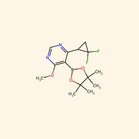 COc1ncnc(C2CC2(F)F)c1B1OC(C)(C)C(C)(C)O1